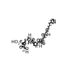 C[C@H]1C(S[C@@H]2CN[C@H](C(=O)Nc3cccc(C(=O)NS(=O)(=O)CCCC(=O)NCCOCCCCC4C=NC=CC4)c3)C2)=C(C(=O)O)N2C(=O)[C@H]([C@@H](C)O)C12